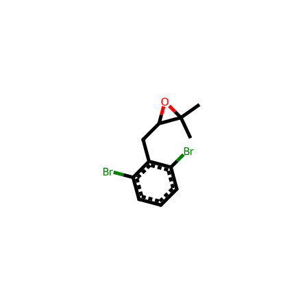 CC1(C)OC1Cc1c(Br)cccc1Br